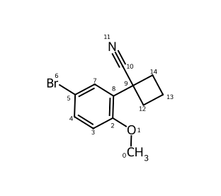 COc1ccc(Br)cc1C1(C#N)CCC1